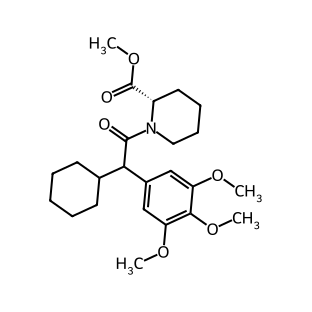 COC(=O)[C@@H]1CCCCN1C(=O)C(c1cc(OC)c(OC)c(OC)c1)C1CCCCC1